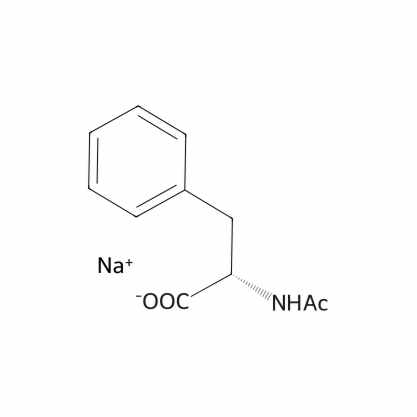 CC(=O)N[C@@H](Cc1ccccc1)C(=O)[O-].[Na+]